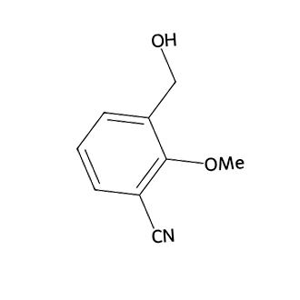 COc1c(C#N)cccc1CO